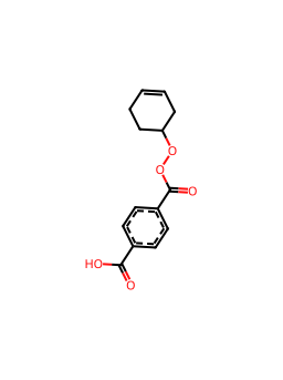 O=C(O)c1ccc(C(=O)OOC2CC=CCC2)cc1